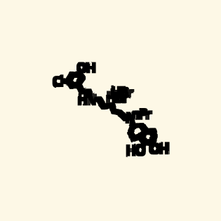 Br.Br.CCCN(CCCCCCNCCc1cc(O)cc(Cl)c1)C1CCc2c(ccc(O)c2O)C1